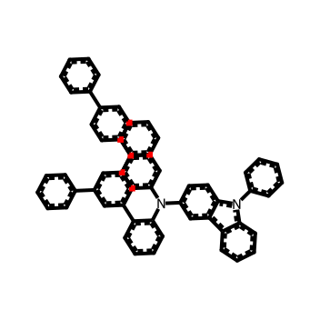 c1ccc(-c2ccc(-c3ccc(N(c4ccc5c(c4)c4ccccc4n5-c4ccccc4)c4ccccc4-c4cc(-c5ccccc5)cc(-c5ccccc5)c4)cc3)cc2)cc1